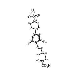 CS(=O)(=O)N1CCC(c2cc(F)c(OCC3CCN(C(=O)O)CC3)c(F)c2)CC1